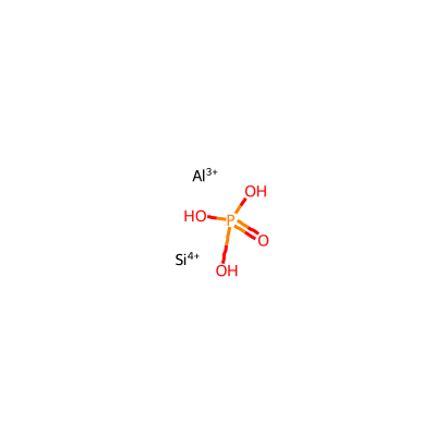 O=P(O)(O)O.[Al+3].[Si+4]